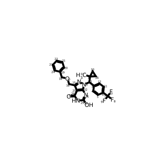 CC1(C(c2ccc(C(F)(F)F)cc2)n2nc(COCc3ccccc3)c3c(=O)[nH]c(O)nc32)CC1